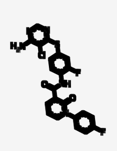 Nc1ncnc(Sc2ccc(NC(=O)c3cccn(-c4ccc(F)cc4)c3=O)c(F)c2)c1Cl